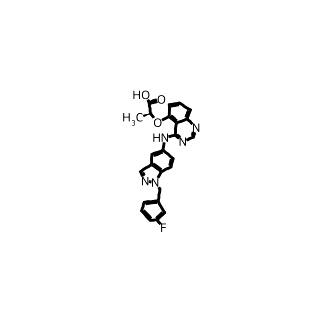 C[C@H](Oc1cccc2ncnc(Nc3ccc4c(cnn4Cc4cccc(F)c4)c3)c12)C(=O)O